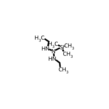 CCNN(NCC)[Si](C)(C)C